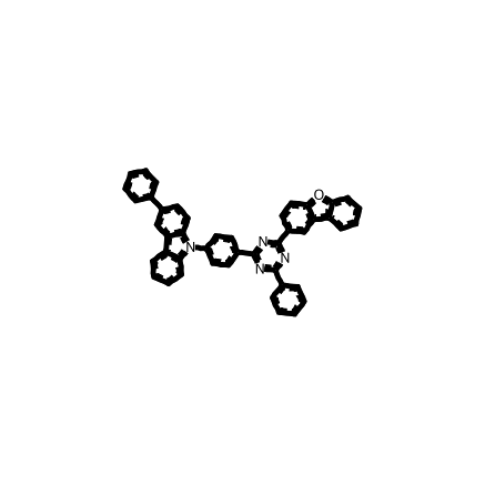 c1ccc(-c2ccc3c(c2)c2ccccc2n3-c2ccc(-c3nc(-c4ccccc4)nc(-c4ccc5oc6ccccc6c5c4)n3)cc2)cc1